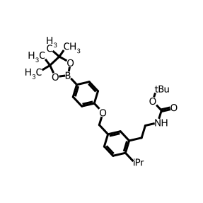 CC(C)c1ccc(COc2ccc(B3OC(C)(C)C(C)(C)O3)cc2)cc1CCNC(=O)OC(C)(C)C